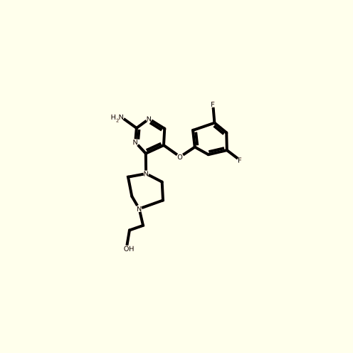 Nc1ncc(Oc2cc(F)cc(F)c2)c(N2CCN(CCO)CC2)n1